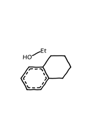 CCO.c1ccc2c(c1)CCCC2